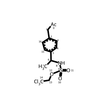 CC(=O)Cc1ccc(C(C)NS(=O)(=O)OCC(Cl)(Cl)Cl)cc1